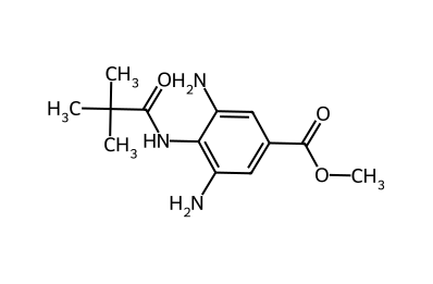 COC(=O)c1cc(N)c(NC(=O)C(C)(C)C)c(N)c1